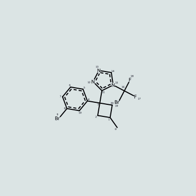 CC1CC(c2cccc(Br)c2)(c2nncn2C(F)(F)Br)C1